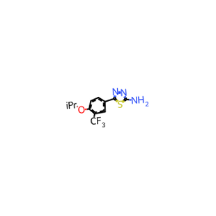 CC(C)Oc1ccc(-c2nnc(N)s2)cc1C(F)(F)F